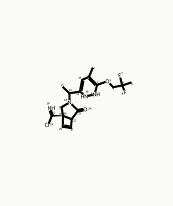 CC1=C(OCC(C)(F)F)NNC(C(C)N2C[C@@]3(C(=N)Cl)C=CC3C2=O)=C1